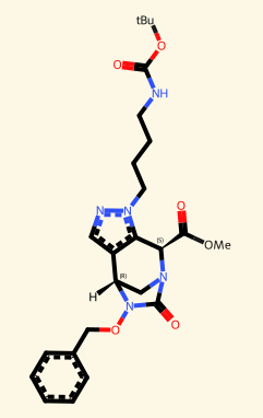 COC(=O)[C@@H]1c2c(cnn2CCCCNC(=O)OC(C)(C)C)[C@@H]2CN1C(=O)N2OCc1ccccc1